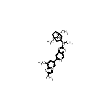 Cc1cn2cc(-c3cc4sc(N(C)C5C[C@]6(C)CC[C@](C)(C5)N6)nc4cn3)cc(C)c2n1